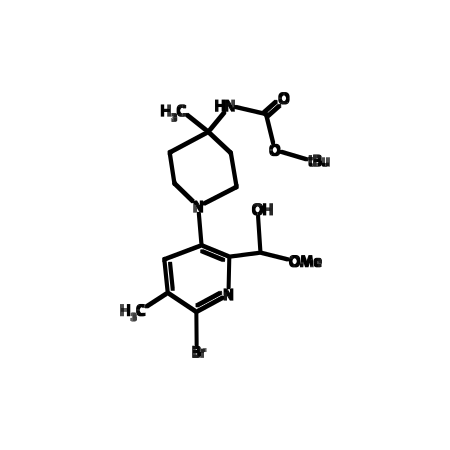 COC(O)c1nc(Br)c(C)cc1N1CCC(C)(NC(=O)OC(C)(C)C)CC1